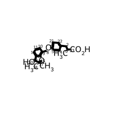 CC(Cc1ccc(OCc2cccc3c2OC(C)(C)C3O)cc1)C(=O)O